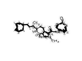 C[C@@H](CCc1ccccc1)[C@H]1CCc2c(cn(C)c2C(=O)Nc2ccnc(Cl)c2)S(=N)(=O)N1